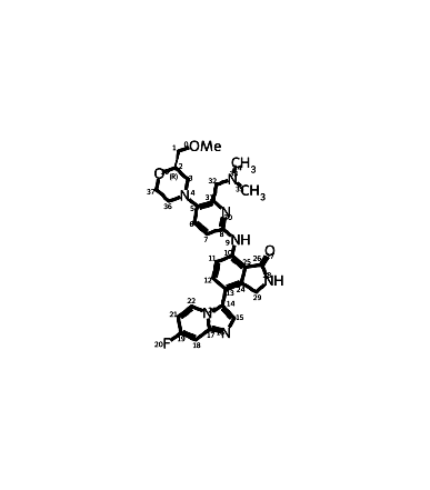 COC[C@H]1CN(c2ccc(Nc3ccc(-c4cnc5cc(F)ccn45)c4c3C(=O)NC4)nc2CN(C)C)CCO1